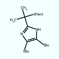 CCCCCC(C)(C)c1nc(C(C)(C)C)c(C(C)CC)[nH]1